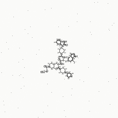 Cc1cc(CC(NC(=O)N2CCC(n3c(=O)[nH]c4ncccc43)CC2)C(=O)NC(CC2CCN(C(=O)OC(C)(C)C)CC2)C(=O)N2CCN(c3ccncc3)CC2)cc2cn[nH]c12